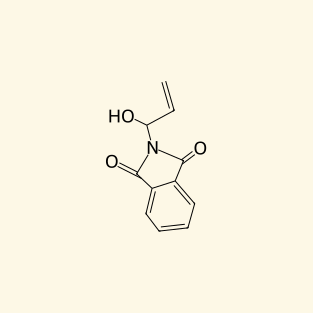 C=CC(O)N1C(=O)c2ccccc2C1=O